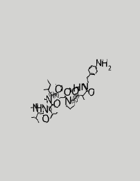 CCC(C)[C@@H]([C@@H](CC(=O)N1CCC[C@H]1[C@H](OC)C(C)C(=O)NCCc1ccc(N)cc1)OC)N(C)C(=O)[C@@H](NC(=O)C(C(C)C)N(C)C)C(C)C